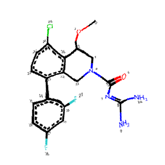 COC1CN(C(=O)N=C(N)N)Cc2c(-c3ccc(F)cc3F)ccc(Cl)c21